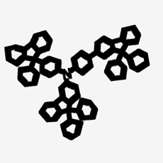 c1ccc(C2(c3ccc(N(c4ccc(-c5ccc6c(c5)C(c5ccccc5)(c5ccccc5)c5ccccc5-6)cc4)c4ccc5c(c4)-c4ccccc4C5(c4ccccc4)c4ccccc4)cc3)c3ccccc3-c3ccccc32)cc1